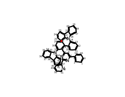 c1ccc(-c2cc(-c3c(-c4ccccc4-n4c5ccccc5c5ccccc54)cccc3-n3c4ccccc4c4ccccc43)nc(-c3ccccn3)n2)cc1